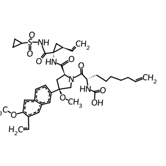 C=CCCCCC[C@H](NC(=O)O)C(=O)N1C[C@](OC)(c2ccc3cc(OC)c(C=C)cc3c2)C[C@H]1C(=O)N[C@]1(C(=O)NS(=O)(=O)C2CC2)C[C@H]1C=C